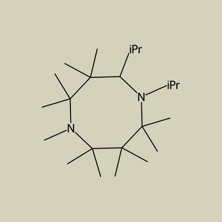 CC(C)C1N(C(C)C)C(C)(C)C(C)(C)C(C)(C)N(C)C(C)(C)C1(C)C